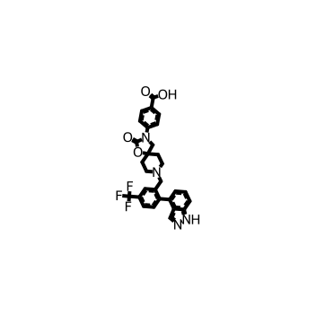 O=C(O)c1ccc(N2CC3(CCN(Cc4cc(C(F)(F)F)ccc4-c4cccc5[nH]ncc45)CC3)OC2=O)cc1